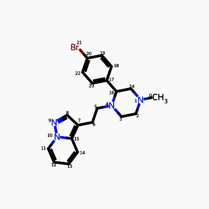 CN1CCN(CCc2cnn3ccccc23)C(c2ccc(Br)cc2)C1